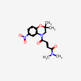 CN(C)C(=O)C=CC(=O)N1CC(C)(C)Oc2ccc([N+](=O)[O-])cc21